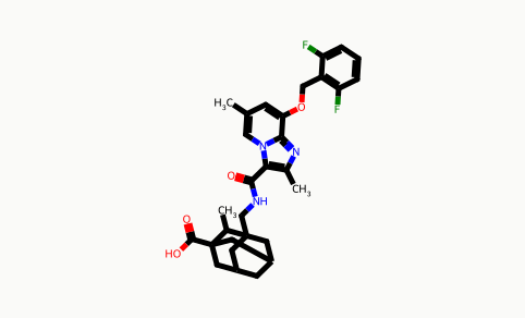 Cc1cc(OCc2c(F)cccc2F)c2nc(C)c(C(=O)NCC34CC5CC(C3)CC(C(=O)O)(C5)C4C)n2c1